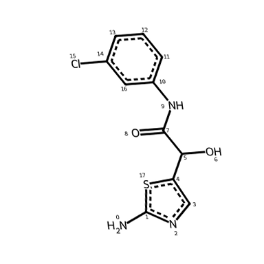 Nc1ncc(C(O)C(=O)Nc2cccc(Cl)c2)s1